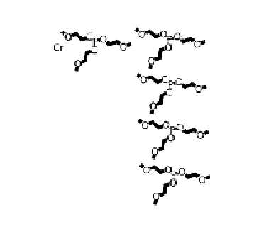 COCCOP(OCCOC)OCCOC.COCCOP(OCCOC)OCCOC.COCCOP(OCCOC)OCCOC.COCCOP(OCCOC)OCCOC.COCCOP(OCCOC)OCCOC.[Cr]